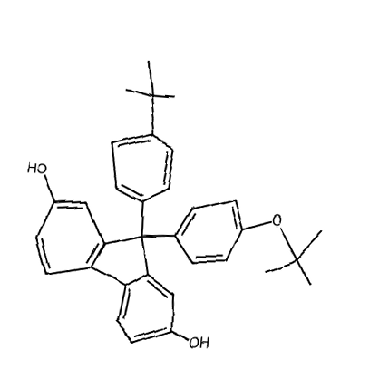 CC(C)(C)Oc1ccc(C2(c3ccc(C(C)(C)C)cc3)c3cc(O)ccc3-c3ccc(O)cc32)cc1